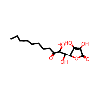 CCCCCCCCC(=O)C(O)C(O)[C@@H]1OC(=O)C(O)=C1O